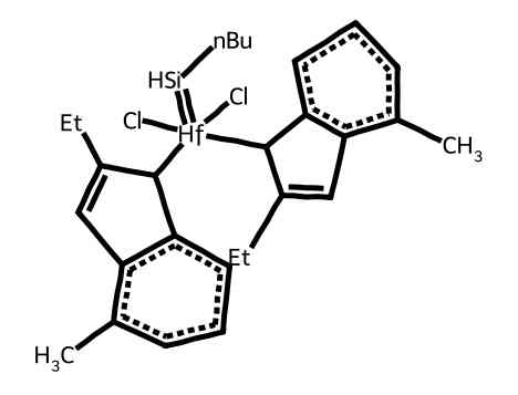 CCCC[SiH]=[Hf]([Cl])([Cl])([CH]1C(CC)=Cc2c(C)cccc21)[CH]1C(CC)=Cc2c(C)cccc21